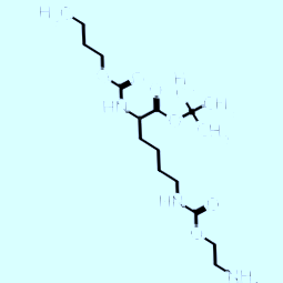 CCCCOC(=O)NC(CCCCNC(=O)OCCN)C(=O)OC(C)(C)C